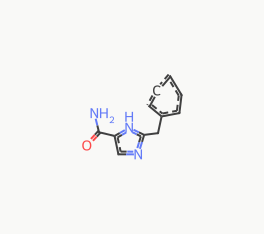 NC(=O)c1cnc(Cc2ccccc2)[nH]1